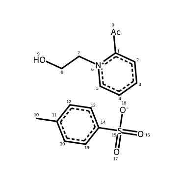 CC(=O)c1cccc[n+]1CCO.Cc1ccc(S(=O)(=O)[O-])cc1